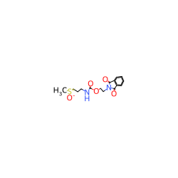 C[S+]([O-])CCCNC(=O)OCCN1C(=O)c2ccccc2C1=O